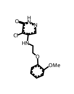 COc1ccccc1OCCNc1cn[nH]c(=O)c1Cl